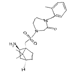 Cc1ccccc1N1CCN(S(=O)(=O)C[C@@]23CC[C@@H](C[C@H]2N)C3(C)C)CC1=O